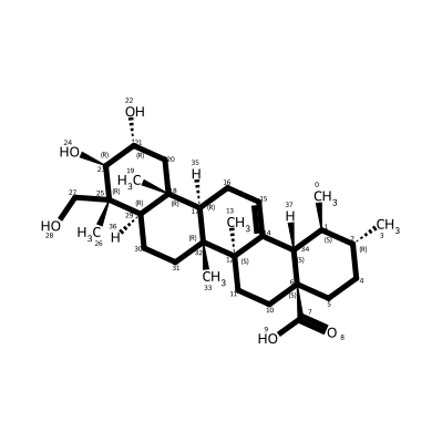 C[C@H]1[C@H](C)CC[C@]2(C(=O)O)CC[C@]3(C)C(=CC[C@@H]4[C@@]5(C)C[C@@H](O)[C@H](O)[C@@](C)(CO)[C@@H]5CC[C@]43C)[C@H]12